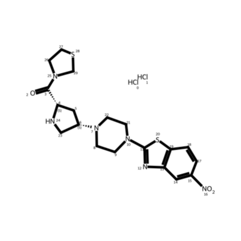 Cl.Cl.O=C([C@@H]1C[C@H](N2CCN(c3nc4cc([N+](=O)[O-])ccc4s3)CC2)CN1)N1CCSC1